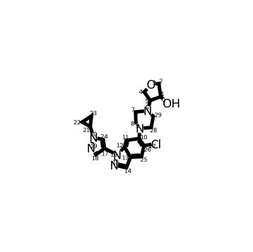 OC1COCC1N1CCN(c2cc3c(cnn3-c3cnn(C4CC4)c3)cc2Cl)CC1